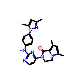 Cc1cc(C)n(-c2ccc(Nc3nccc(N4CCn5c(C)cc(C)c5C4=O)n3)cc2)n1